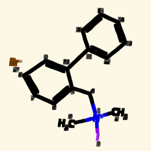 C[N+](C)(I)Cc1ccccc1-c1ccccc1.[Br-]